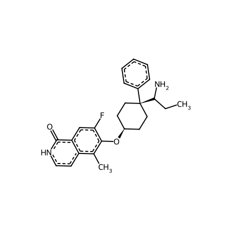 CCC(N)[C@]1(c2ccccc2)CC[C@H](Oc2c(F)cc3c(=O)[nH]ccc3c2C)CC1